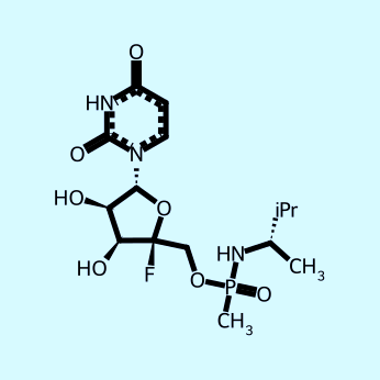 CC(C)[C@H](C)NP(C)(=O)OC[C@@]1(F)O[C@@H](n2ccc(=O)[nH]c2=O)[C@H](O)[C@@H]1O